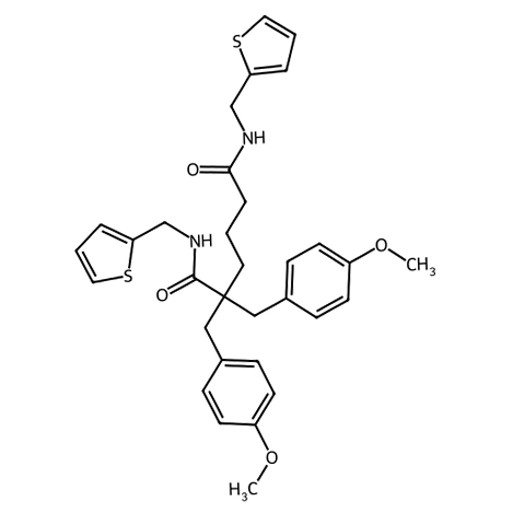 COc1ccc(CC(CCCC(=O)NCc2cccs2)(Cc2ccc(OC)cc2)C(=O)NCc2cccs2)cc1